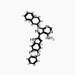 Nc1ncnc2c1c(-c1cc3cc(Oc4ccccc4)c(F)cc3[nH]1)nn2C1CCc2ccccc2C1